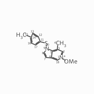 CO[n+]1cc(C)c2c(ccn2Sc2ccc(C)cc2)c1